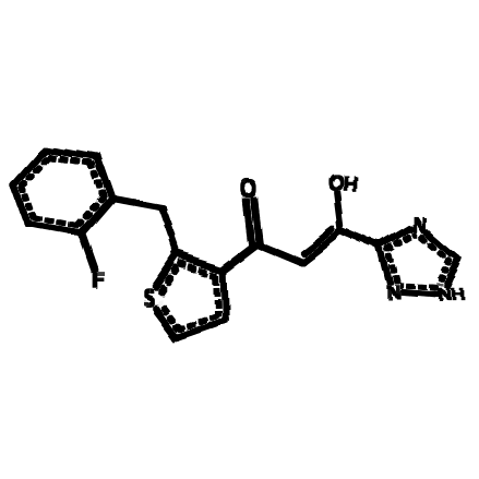 O=C(C=C(O)c1nc[nH]n1)c1ccsc1Cc1ccccc1F